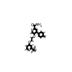 NC(=O)c1cc(-c2ccc(F)cc2)c(OCCOc2ccnc(C(F)(F)F)c2)cn1